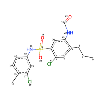 CCCc1cc(Cl)c(S(=O)(=O)Nc2ccc(C)c(Cl)c2)cc1NC=O